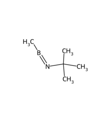 CB=NC(C)(C)C